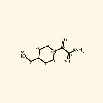 NC(=O)C(=O)N1CCC(CO)CC1